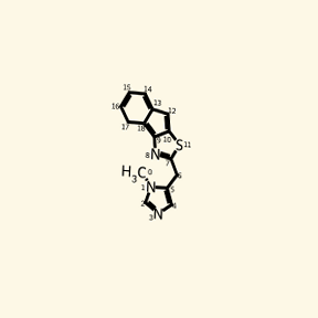 Cn1cncc1Cc1nc2c(s1)=CC1=CC=CCC=21